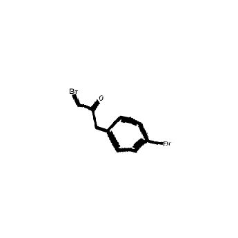 O=C(CBr)Cc1ccc(Br)cc1